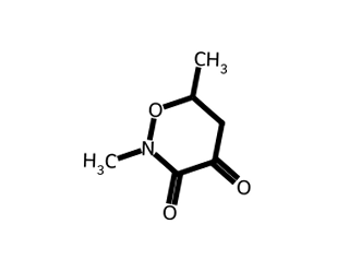 CC1CC(=O)C(=O)N(C)O1